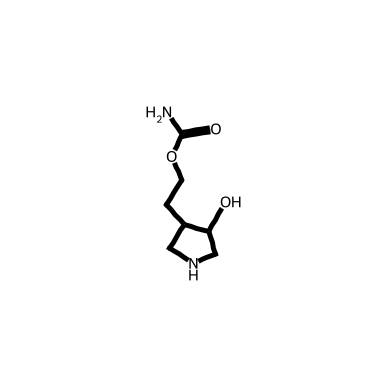 NC(=O)OCCC1CNCC1O